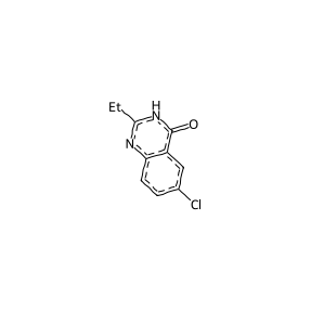 CCc1nc2ccc(Cl)cc2c(=O)[nH]1